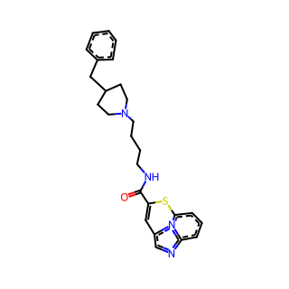 O=C(NCCCCN1CCC(Cc2ccccc2)CC1)C1=Cc2cnc3cccc(n23)S1